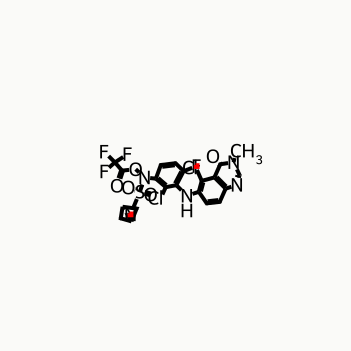 Cn1cnc2ccc(Nc3c(F)ccc(N(OC(=O)C(F)(F)F)S(=O)(=O)N4CC5CC4C5)c3Cl)c(Cl)c2c1=O